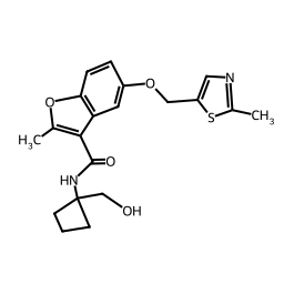 Cc1ncc(COc2ccc3oc(C)c(C(=O)NC4(CO)CCC4)c3c2)s1